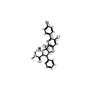 CN(C)C(=O)C1C(c2ccccc2)C2Oc3cc(Cl)c(-c4ccc(Br)cc4)nc3C2(O)[AsH]1=O